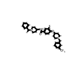 O=C(NC1CCN(C(I)c2ccccc2)CC1)c1ccc(OC2CCN(Cc3cccc(C(F)(F)F)c3)CC2)c(F)c1